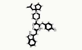 CC(C)CC1(N2CCN(C(=O)[C@@H](Cc3ccc(Cl)cc3)NC(=O)CC3NCc4ccccc43)CC2)CCCC1